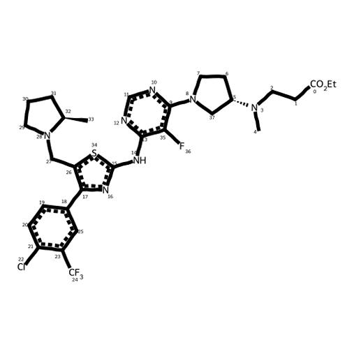 CCOC(=O)CCN(C)[C@H]1CCN(c2ncnc(Nc3nc(-c4ccc(Cl)c(C(F)(F)F)c4)c(CN4CCC[C@H]4C)s3)c2F)C1